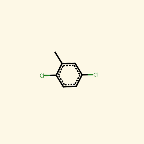 Cc1cc(Cl)c[c]c1Cl